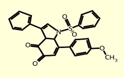 COc1ccc(C2=CC(=O)C(=O)C3C(c4ccccc4)=CN(S(=O)(=O)c4ccccc4)C23)cc1